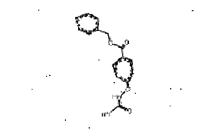 CCCC(=O)NOc1ccc(C(=O)OCc2ccccc2)cc1